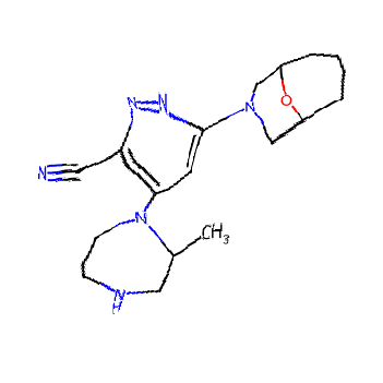 CC1CNCCN1c1cc(N2CC3CCC(C2)O3)nnc1C#N